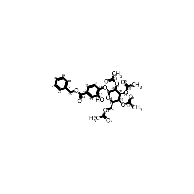 CC(=O)OC[C@H]1O[C@@H](Oc2ccc(C(=O)OCc3ccccc3)cc2O)C(OC(C)=O)[C@@H](OC(C)=O)[C@H]1OC(C)=O